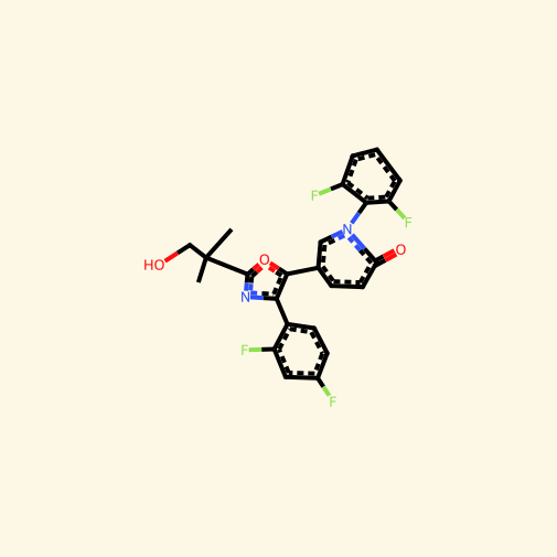 CC(C)(CO)c1nc(-c2ccc(F)cc2F)c(-c2ccc(=O)n(-c3c(F)cccc3F)c2)o1